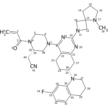 C=CC(=O)N1CCN(c2nc(N3CC4(CCCN4C)C3)nc3c2CC[C@@H](N2CCCc4ccc(F)cc42)C3)C[C@@H]1CC#N